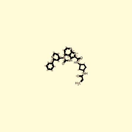 C=CC(=O)NC1CCC(NC(=O)c2sc3nccc4c3c2NC(=O)N4c2ccnc(-c3ccccc3)c2)C1